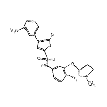 CN1CCC(Oc2cc(NS(=O)(=O)c3cc(-c4cccc(N)c4)c(Cl)s3)ccc2C(F)(F)F)C1